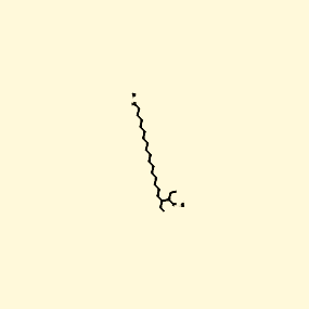 CCC(CCCCCCCCCCCCCCCCC(=O)OC)C(CC)C(=O)OC